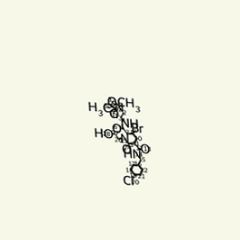 CN(CCNC(=O)c1c(Br)cc(C(=O)NCc2ccc(Cl)cc2)c(=O)n1CCO)S(C)(=O)=O